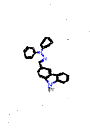 CC(C)n1c2ccccc2c2cc(C=NN(c3ccccc3)c3ccccc3)ccc21